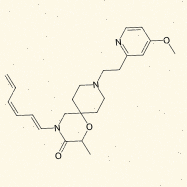 C=C/C=C\C=C\N1CC2(CCN(CCc3cc(OC)ccn3)CC2)OC(C)C1=O